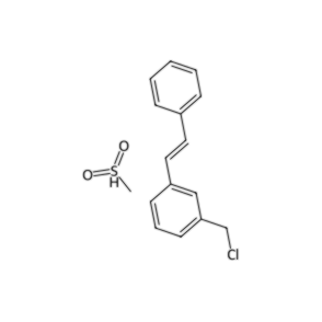 C[SH](=O)=O.ClCc1cccc(C=Cc2ccccc2)c1